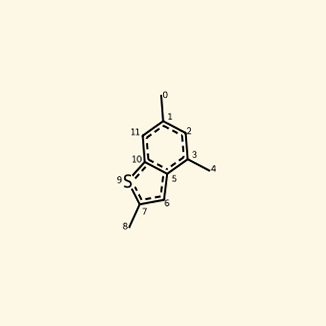 Cc1cc(C)c2cc(C)sc2c1